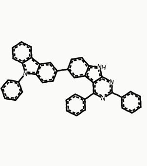 c1ccc(-c2nc(-c3ccccc3)c3c(n2)[nH]c2ccc(-c4ccc5c(c4)c4ccccc4n5-c4ccccc4)cc23)cc1